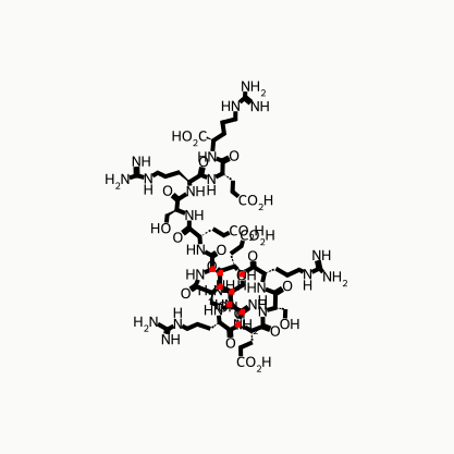 N=C(N)NCCC[C@H](NC(=O)[C@H](CCC(=O)O)NC(=O)[C@H](CCCNC(=N)N)NC(=O)[C@H](CO)NC(=O)[C@H](CCC(=O)O)NC(=O)[C@H](CCCNC(=N)N)NC(=O)[C@H](CO)NC(=O)[C@H](CCC(=O)O)NC(=O)[C@H](CCCNC(=N)N)NC(=O)[C@H](CO)NC(=O)[C@H](CCC(=O)O)NC(=O)[C@H](CCCNC(=N)N)NC(=O)[C@@H](N)CO)C(=O)O